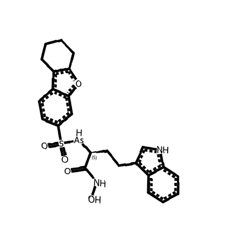 O=C(NO)[C@H](CCc1c[nH]c2ccccc12)[AsH]S(=O)(=O)c1ccc2c3c(oc2c1)CCCC3